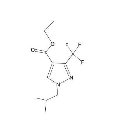 CCOC(=O)c1cn(CC(C)C)nc1C(F)(F)F